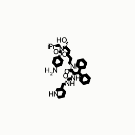 CC(C)CN([C@H](CO)CCCCNC(=O)[C@@H](NC(=O)NCC1=CNCC=C1)C(c1ccccc1)c1ccccc1)S(=O)(=O)c1ccc(N)cc1